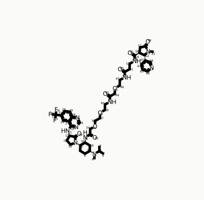 CC(C)N(C)[C@@H]1CC[C@H](N2CC[C@H](Nc3ncnc4ccc(C(F)(F)F)cc34)C2=O)[C@H](NC(=O)COCCOCCNC(=O)COCCNC(=O)CCNC(=O)[C@H]2CC(=O)N(C)[C@@H]2c2cccnc2)C1